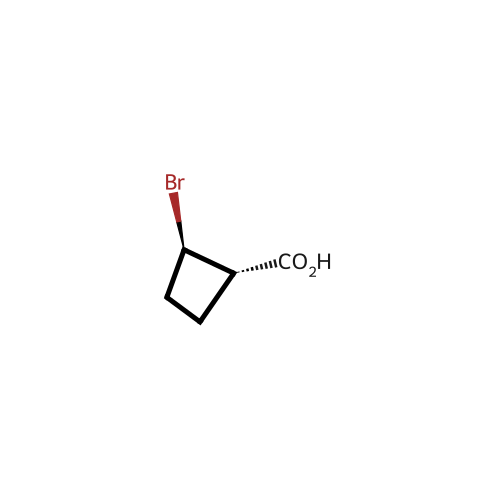 O=C(O)[C@@H]1CC[C@H]1Br